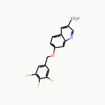 O=C(O)c1cnc2cc(OCc3cc(F)c(F)c(F)c3)ccc2c1